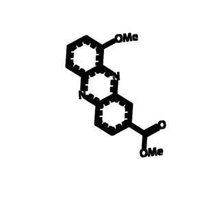 COC(=O)c1ccc2nc3cccc(OC)c3nc2c1